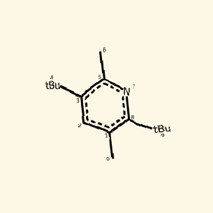 Cc1cc(C(C)(C)C)c(C)nc1C(C)(C)C